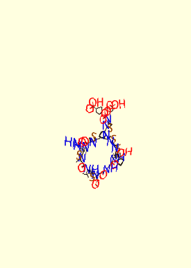 CNC(=O)C[C@@H]1NC(=O)c2csc(n2)-c2ccc(-c3nc(N(CC(CC(=O)O)OC)C(=O)O[C@H]4CC[C@H](C(=O)O)CC4)cs3)nc2-c2csc(n2)-c2csc(n2)[C@H]([C@@H](O)c2ccccc2)NC(=O)CNC(=O)c2nc(sc2COC)[C@H](C(C)C)NC(=O)c2nc1sc2C